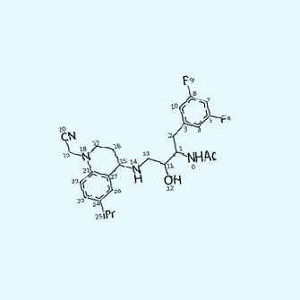 CC(=O)NC(Cc1cc(F)cc(F)c1)C(O)CNC1CCN(CC#N)c2ccc(C(C)C)cc21